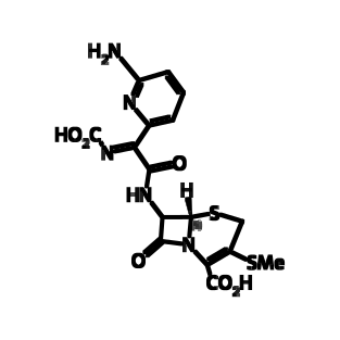 CSC1=C(C(=O)O)N2C(=O)C(NC(=O)C(=NC(=O)O)c3cccc(N)n3)[C@@H]2SC1